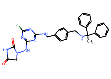 CC(NCc1ccc(CNc2nc(Cl)nc(NN3CC(=O)NC3=O)n2)cc1)(c1ccccc1)c1ccccc1